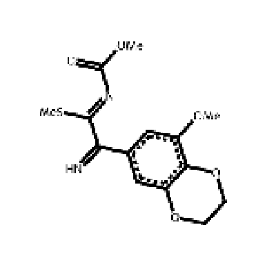 COC(=O)N=C(SC)C(=N)c1cc(OC)c2c(c1)OCCO2